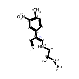 Cc1ccc(/C(C=N)=C/NCC(=O)OC(C)(C)C)cc1[N+](=O)[O-]